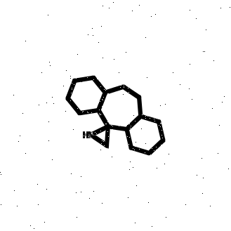 C1CCC2C(C1)CCC1CCCCC1C21CN1